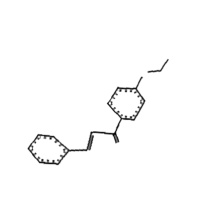 O=C(O)COc1ccc(C(=O)/C=C/c2ccccc2)cc1